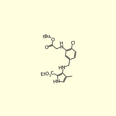 CCOC(=O)c1[nH]cc(C)c1NCc1ccc(Cl)c(NCC(=O)OC(C)(C)C)c1